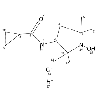 CC1(C)CC(NC(=O)C2CC2)C(C)(C)N1O.[Cl-].[H+]